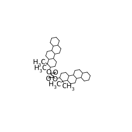 CC1(C)C(OS(=O)(=O)OC2CCC3C4CCC5CCCCC5C4CCC3C2(C)C)CCC2C3CCC4CCCCC4C3CCC21